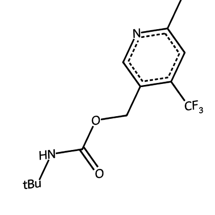 Cc1cc(C(F)(F)F)c(COC(=O)NC(C)(C)C)cn1